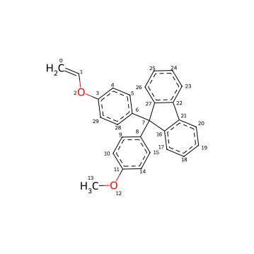 C=COc1ccc(C2(c3ccc(OC)cc3)c3ccccc3-c3ccccc32)cc1